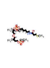 COP(C)(=O)OCCC(C)COCCC(C)(C)OP(=O)(OC)OCCCCCCNC(=O)CCSC